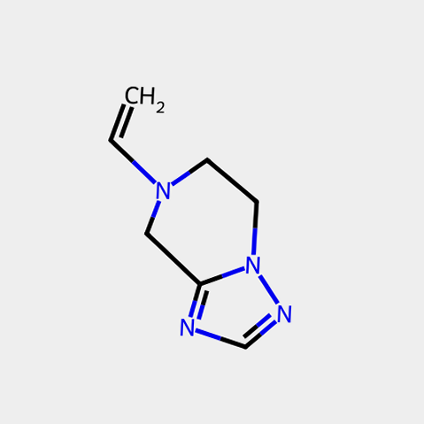 C=CN1CCn2ncnc2C1